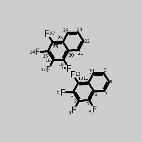 Fc1c(F)c(F)c2ccc[c]c2c1F.Fc1c(F)c(F)c2ccc[c]c2c1F